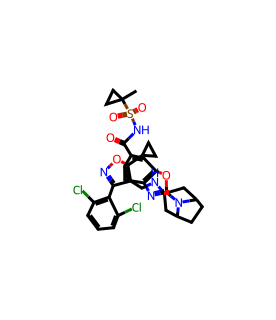 CC1(S(=O)(=O)NC(=O)c2ccc3nc(N4C5CCC4CC(NCc4c(-c6c(Cl)cccc6Cl)noc4C4CC4)C5)oc3c2)CC1